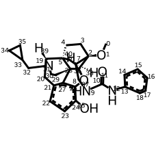 CO[C@]12CC[C@@]3(C[C@@H]1CNC(=O)Nc1ccccc1)[C@H]1Cc4ccc(O)c5c4[C@@]3(CCN1CC1CC1)[C@H]2O5